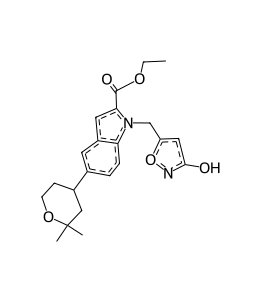 CCOC(=O)c1cc2cc(C3CCOC(C)(C)C3)ccc2n1Cc1cc(O)no1